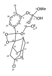 COP(=O)(O)Oc1cc(C2(OCC(F)(F)F)OOC23C2CC4CC3CC(Cl)(C4)C2)ccc1C